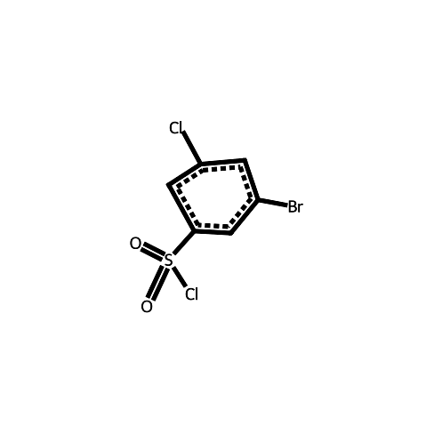 O=S(=O)(Cl)c1cc(Cl)cc(Br)c1